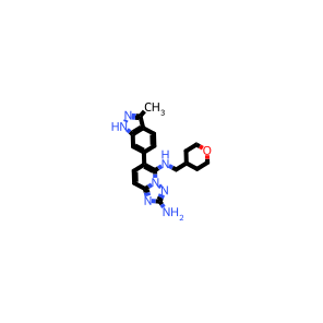 Cc1n[nH]c2cc(-c3ccc4nc(N)nn4c3NCC3CCOCC3)ccc12